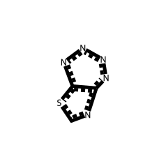 c1nc2nnnnc2s1